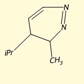 CC(C)C1C=CN=NC1C